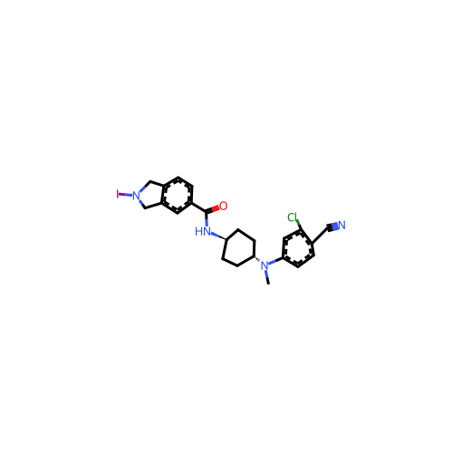 CN(c1ccc(C#N)c(Cl)c1)[C@H]1CC[C@H](NC(=O)c2ccc3c(c2)CN(I)C3)CC1